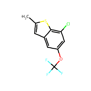 [CH2]c1cc2cc(OC(F)(F)F)cc(Cl)c2s1